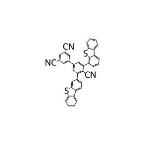 N#Cc1cc(C#N)cc(-c2cc(-c3ccc4c(c3)sc3ccccc34)c(C#N)c(-c3cccc4c3sc3ccccc34)c2)c1